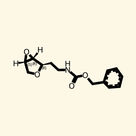 O=C(NCC[C@H]1OC[C@@H]2O[C@@H]21)OCc1ccccc1